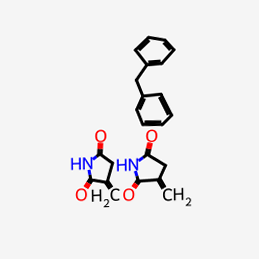 C=C1CC(=O)NC1=O.C=C1CC(=O)NC1=O.c1ccc(Cc2ccccc2)cc1